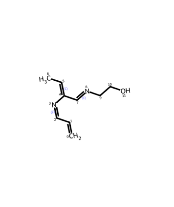 C=C\C=N/C(=C\C)/C=N/CCO